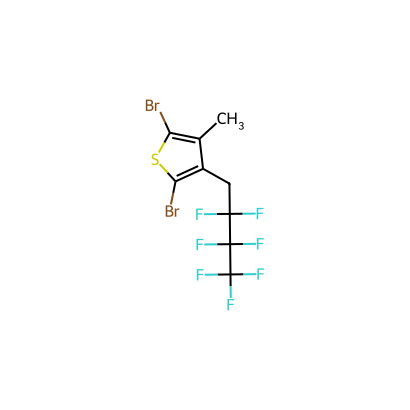 Cc1c(Br)sc(Br)c1CC(F)(F)C(F)(F)C(F)(F)F